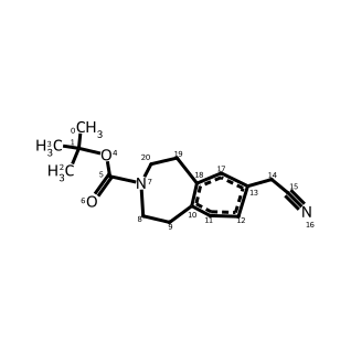 CC(C)(C)OC(=O)N1CCc2ccc(CC#N)cc2CC1